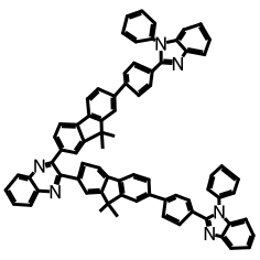 CC1(C)c2cc(-c3ccc(-c4nc5ccccc5n4-c4ccccc4)cc3)ccc2-c2ccc(-c3nc4ccccc4nc3-c3ccc4c(c3)C(C)(C)c3cc(-c5ccc(-c6nc7ccccc7n6-c6ccccc6)cc5)ccc3-4)cc21